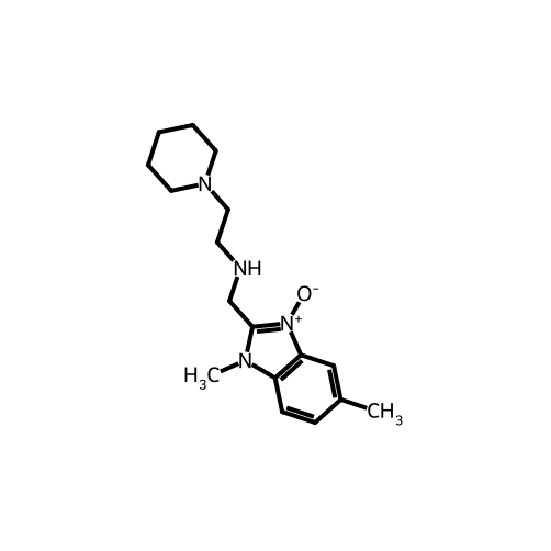 Cc1ccc2c(c1)[n+]([O-])c(CNCCN1CCCCC1)n2C